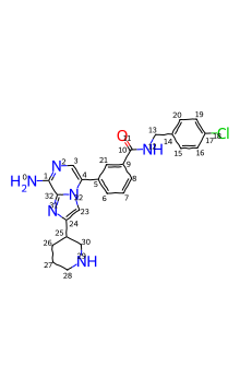 Nc1ncc(-c2cccc(C(=O)NCc3ccc(Cl)cc3)c2)n2cc(C3CCCNC3)nc12